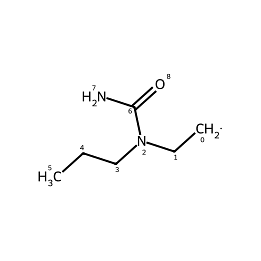 [CH2]CN(CCC)C(N)=O